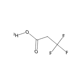 [2H]OC(=O)CC(F)(F)F